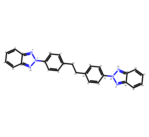 c1ccc2nn(-c3ccc(CCc4ccc(-n5nc6ccccc6n5)cc4)cc3)nc2c1